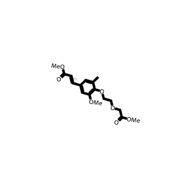 COC(=O)/C=C/c1cc(C)c(OCCOCC(=O)OC)c(OC)c1